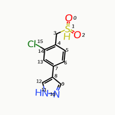 O=[SH](=O)Cc1ccc(-c2cn[nH]c2)cc1Cl